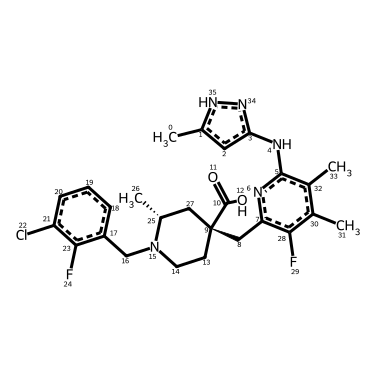 Cc1cc(Nc2nc(C[C@@]3(C(=O)O)CCN(Cc4cccc(Cl)c4F)[C@H](C)C3)c(F)c(C)c2C)n[nH]1